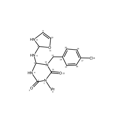 CC(C)N1C(=O)NC(NC2NC=CO2)N(Cc2ccc(Cl)cc2)C1=O